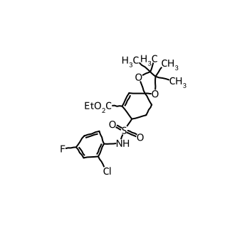 CCOC(=O)C1=CC2(CCC1S(=O)(=O)Nc1ccc(F)cc1Cl)OC(C)(C)C(C)(C)O2